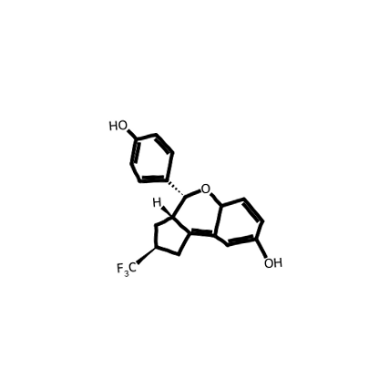 OC1=CC2=C3C[C@@H](C(F)(F)F)C[C@@H]3[C@H](c3ccc(O)cc3)OC2C=C1